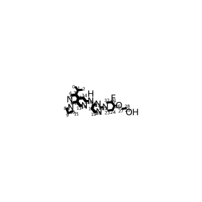 CC(C)c1cnc(N2CC[C@H]2C)c2cnc(Nc3ccnc(N4CC[C@@H](OCCO)[C@@H](F)C4)n3)cc12